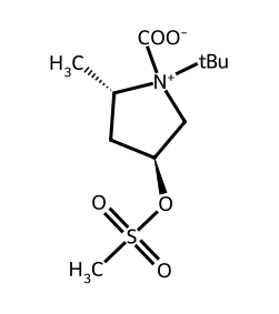 C[C@H]1C[C@H](OS(C)(=O)=O)C[N+]1(C(=O)[O-])C(C)(C)C